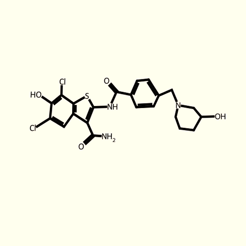 NC(=O)c1c(NC(=O)c2ccc(CN3CCCC(O)C3)cc2)sc2c(Cl)c(O)c(Cl)cc12